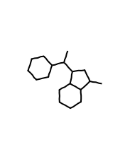 CC1CC(C(C)C2CCCCC2)C2CCCCC12